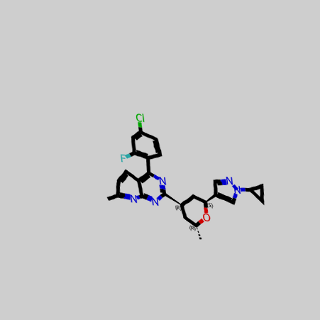 Cc1ccc2c(-c3ccc(Cl)cc3F)nc([C@@H]3C[C@@H](C)O[C@H](c4cnn(C5CC5)c4)C3)nc2n1